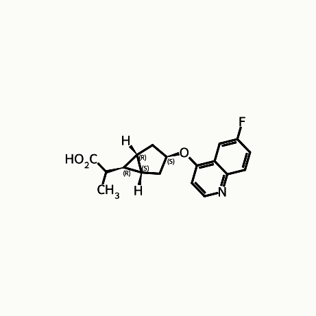 CC(C(=O)O)[C@H]1[C@@H]2C[C@@H](Oc3ccnc4ccc(F)cc34)C[C@@H]21